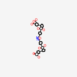 O=C1CC(=O)c2cc(-c3cccc4c3C(=O)C(c3ccc(-c5nnc(-c6ccc(C7C(=O)c8cccc(-c9ccc%10c(c9)C(=O)OC%10=O)c8C7=O)cc6)o5)cc3)C4=O)ccc21